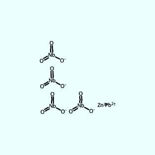 [O]=[Nb](=[O])[O-].[O]=[Nb](=[O])[O-].[O]=[Nb](=[O])[O-].[O]=[Nb](=[O])[O-].[Pb+2].[Zn+2]